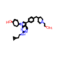 OCCN1CCC(Cc2ccc(-c3cn(C4CCC(O)CC4)c4nc(NCCC5CC5)ncc34)cc2)CC1